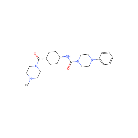 CC(C)N1CCN(C(=O)[C@H]2CC[C@H](NC(=O)N3CCN(c4ccccc4)CC3)CC2)CC1